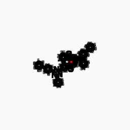 c1ccc(-c2ccc(-c3nc(-c4ccccc4)nc(-c4cc(-c5cccc6oc7cc(-n8c9ccccc9c9cc(-c%10ccccc%10)ccc98)ccc7c56)c5c(c4)oc4ccccc45)n3)cc2)cc1